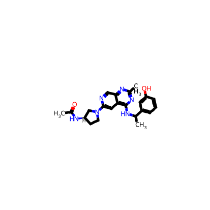 CC(=O)N[C@@H]1CCN(c2cc3c(NC(C)c4cccc(O)c4)nc(C)nc3cn2)C1